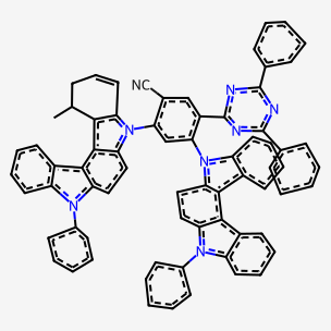 CC1CC=Cc2c1c1c3c4ccccc4n(-c4ccccc4)c3ccc1n2-c1cc(-n2c3ccccc3c3c4c5ccccc5n(-c5ccccc5)c4ccc32)c(-c2nc(-c3ccccc3)nc(-c3ccccc3)n2)cc1C#N